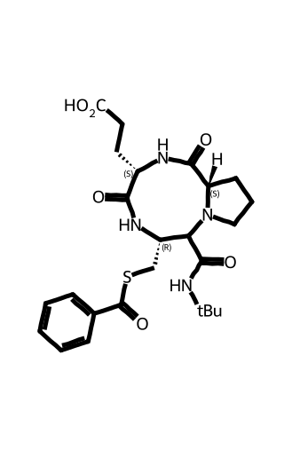 CC(C)(C)NC(=O)C1[C@H](CSC(=O)c2ccccc2)NC(=O)[C@H](CCC(=O)O)NC(=O)[C@@H]2CCCN12